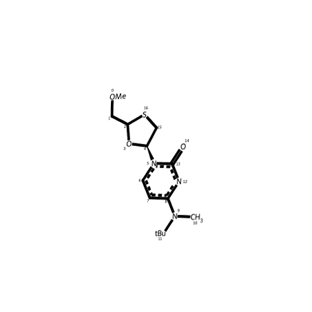 COCC1O[C@H](n2ccc(N(C)C(C)(C)C)nc2=O)CS1